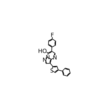 Oc1c(-c2ccc(F)cc2)cnc2c(-c3cc(-c4ccccc4)cs3)cnn12